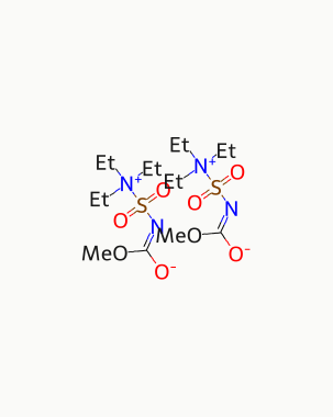 CC[N+](CC)(CC)S(=O)(=O)/N=C(/[O-])OC.CC[N+](CC)(CC)S(=O)(=O)/N=C(/[O-])OC